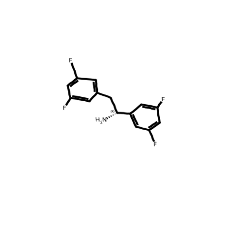 N[C@H](Cc1cc(F)cc(F)c1)c1cc(F)cc(F)c1